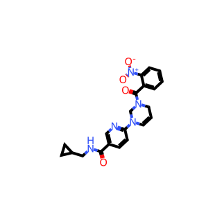 O=C(NCC1CC1)c1ccc(N2C=CCN(C(=O)c3ccccc3[N+](=O)[O-])C2)nc1